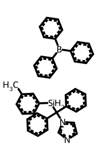 Cc1cccc([SiH2]C(c2ccccc2)(c2ccccc2)n2ccnc2)c1.c1ccc(B(c2ccccc2)c2ccccc2)cc1